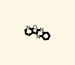 c1ccc2nc3c(nc2c1)oc1ncccc13